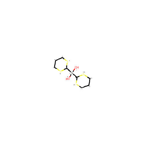 O[Si](O)(C1SCCCS1)C1SCCCS1